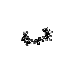 C[Si](C)(C)C[Si](C)(C)C[Si](C)(C)CCCOC(=O)OCCC[Si](C)(C)C[Si](C)(C)C[Si](C)(C)C